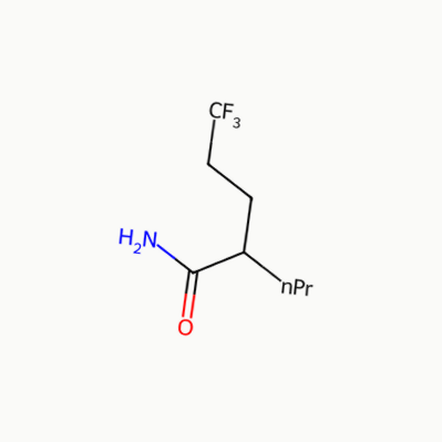 CCCC(CCC(F)(F)F)C(N)=O